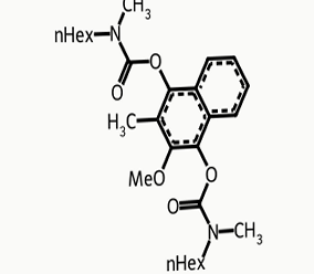 CCCCCCN(C)C(=O)Oc1c(C)c(OC)c(OC(=O)N(C)CCCCCC)c2ccccc12